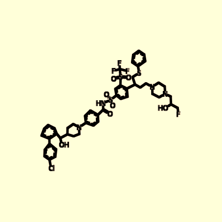 O=C(NS(=O)(=O)c1ccc(C(CCN2CCN(CC(O)CF)CC2)CSc2ccccc2)c(S(=O)(=O)C(F)(F)F)c1)c1ccc(N2CCC(C(O)c3ccccc3-c3ccc(Cl)cc3)CC2)cc1